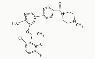 Cc1ncc(-c2ccc(C(=O)N3CCN(C)CC3)cc2)cc1O[C@H](C)c1c(Cl)ccc(F)c1Cl